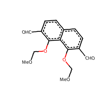 COCOc1c(C=O)ccc2ccc(C=O)c(OCOC)c12